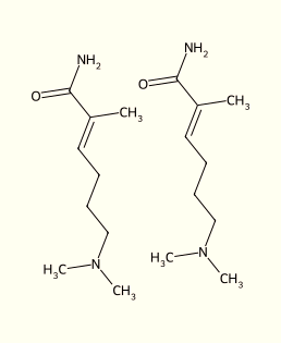 C/C(=C\CCCN(C)C)C(N)=O.C/C(=C\CCCN(C)C)C(N)=O